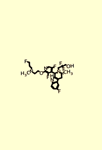 C[C@@H]1Cc2c([nH]c3ccc(F)cc23)C(c2c(F)cnc(OCCN(C)CCCF)c2F)N1CC(F)(F)CO